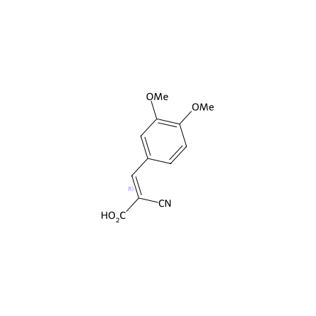 COc1ccc(/C=C(\C#N)C(=O)O)cc1OC